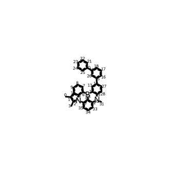 Cc1c(C)n2c3c(cccc13)B1c3cc(-c4cccc(-c5ccccc5)c4)ccc3N(C)c3cccc-2c31